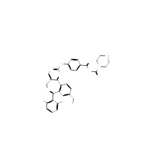 N=C(NC(=O)c1ccc(Nc2ncc3c(n2)-c2ccc(CI)cc2C(c2c(F)cccc2F)=NC3)cc1)N1CCNCC1